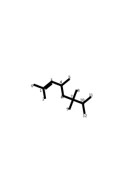 CC(C)=CC(C)[CH]C(C)(C)C(C)C